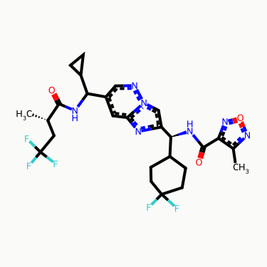 Cc1nonc1C(=O)N[C@H](c1cn2ncc(C(NC(=O)[C@@H](C)CC(F)(F)F)C3CC3)cc2n1)C1CCC(F)(F)CC1